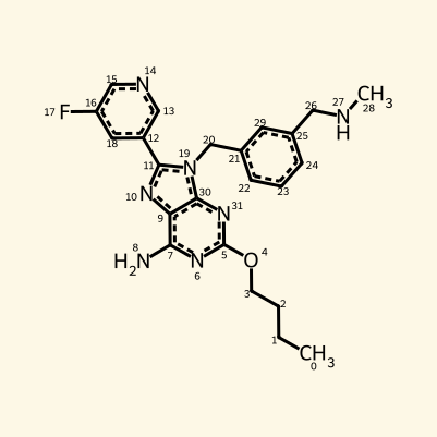 CCCCOc1nc(N)c2nc(-c3cncc(F)c3)n(Cc3cccc(CNC)c3)c2n1